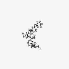 N=C(N)c1c(-c2ccc(Oc3ccccc3)cc2)cnc(-c2cccc(S(N)(=O)=O)c2)c1N